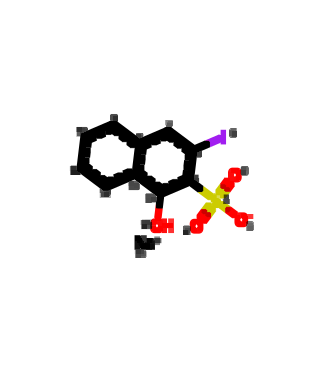 O=S(=O)([O-])c1c(I)cc2ccccc2c1O.[Na+]